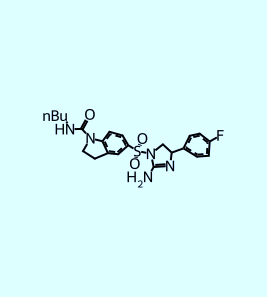 CCCCNC(=O)N1CCc2cc(S(=O)(=O)N3CC(c4ccc(F)cc4)N=C3N)ccc21